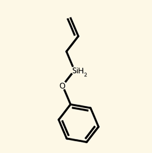 C=CC[SiH2]Oc1ccccc1